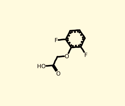 O=C(O)COc1c(F)cccc1F